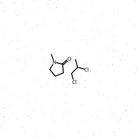 CC(Cl)CCl.CN1CCCC1=O